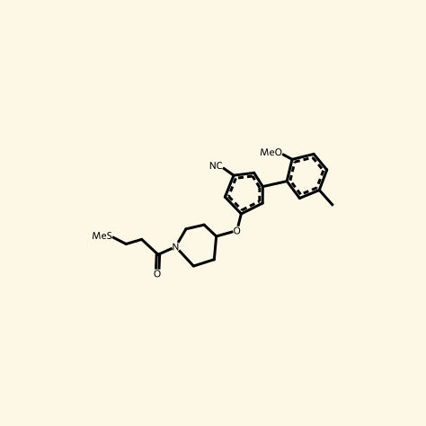 COc1ccc(C)cc1-c1cc(C#N)cc(OC2CCN(C(=O)CCSC)CC2)c1